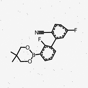 CC1(C)COB(c2cccc(-c3cc(F)ccc3C#N)c2F)OC1